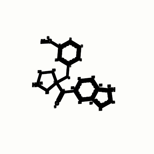 COc1cccc(CC2(C(=O)c3ccc4[nH]ccc4c3)CCNC2)c1